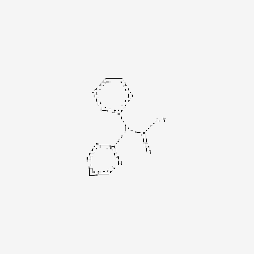 C=C(CCC)P(c1ccccn1)c1ccccn1